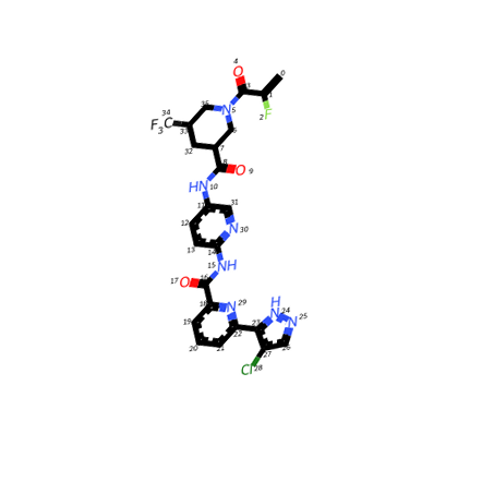 C=C(F)C(=O)N1CC(C(=O)Nc2ccc(NC(=O)c3cccc(-c4[nH]ncc4Cl)n3)nc2)CC(C(F)(F)F)C1